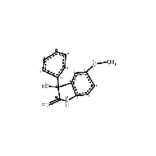 COc1ccc2c(c1)C(O)(c1ccccc1)C(=O)N2